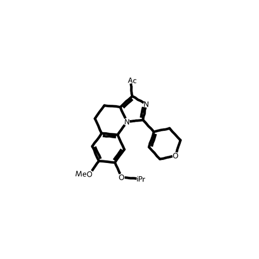 COc1cc2c(cc1OC(C)C)-n1c(C3=CCOCC3)nc(C(C)=O)c1CC2